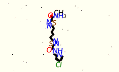 CNC(=O)c1nnc(CCCCc2nnc(C(=O)NCc3cc(Cl)ccn3)s2)s1